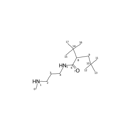 CNCCCNC(=O)C(CC(C)(C)C)C(C)(C)C